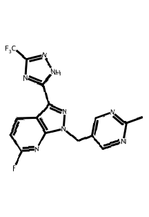 Cc1ncc(Cn2nc(-c3nc(C(F)(F)F)n[nH]3)c3ccc(F)nc32)cn1